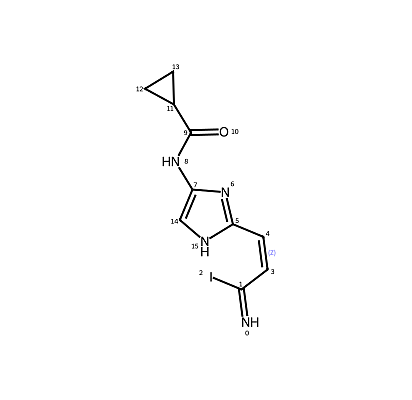 N=C(I)/C=C\c1nc(NC(=O)C2CC2)c[nH]1